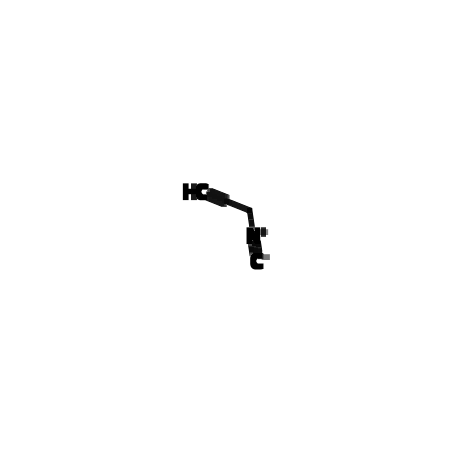 [C-]#[N+]CC#C